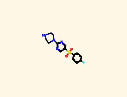 O=S(=O)(c1ccc(F)cc1)c1cnc(N2CCNCC2)nc1